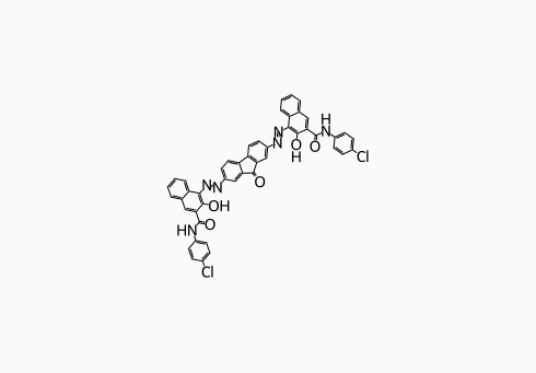 O=C1c2cc(/N=N/c3c(O)c(C(=O)Nc4ccc(Cl)cc4)cc4ccccc34)ccc2-c2ccc(/N=N/c3c(O)c(C(=O)Nc4ccc(Cl)cc4)cc4ccccc34)cc21